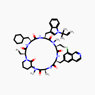 C=CC(C)(C)n1cc(C[C@@H]2NC(=O)[C@H](CC3CCCCC3)NC(=O)[C@H](CC(C)C)N3CCC[C@@H](C3=O)N(C)C(=O)[C@H](C)NC(=O)[C@H](Cc3cc(F)c4cnccc4c3)NC(=O)[C@H](CC(C)C)N(C)C2=O)c2ccccc21